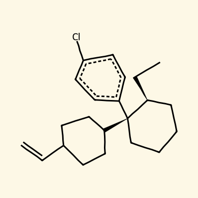 C=CC1CCC([C@]2(c3ccc(Cl)cc3)CCCC[C@@H]2CC)CC1